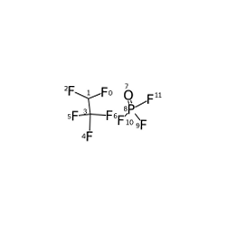 FC(F)C(F)(F)F.O=P(F)(F)F